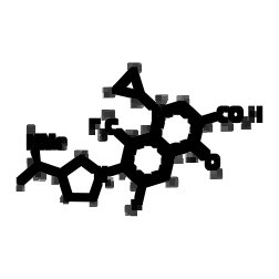 CN[C@H](C)C1CCN(c2c(F)cc3c(=O)c(C(=O)O)cn(C4CC4)c3c2C(F)(F)F)C1